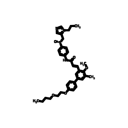 CCCCOCCOc1ccc(-c2cc(C)c(OC)c(/C=C/C(=O)Nc3ccc([S@@+]([O-])Cc4cncn4CCC)cc3)c2)cc1